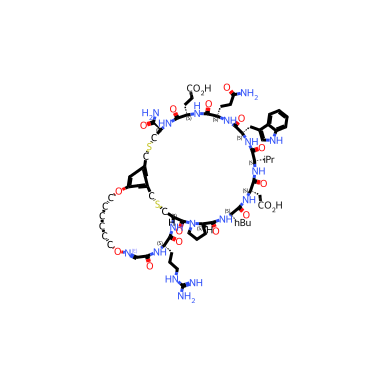 CCCC[C@@H]1NC(=O)[C@@H]2CCCN2C(=O)[C@@H]2CSCc3cc(cc(c3)OCCCCCCO/N=C/C(=O)N[C@@H](CCCNC(=N)N)C(=O)N2)CSC[C@@H](C(N)=O)NC(=O)[C@H](CCC(=O)O)NC(=O)[C@H](CCC(N)=O)NC(=O)[C@H](Cc2c[nH]c3ccccc23)NC(=O)[C@H](C(C)C)NC(=O)[C@H](CC(=O)O)NC1=O